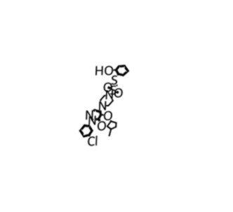 CC1CCC(Oc2c(N3CCN(S(=O)(=O)CSc4ccccc4O)CC3)cnn(-c3cccc(Cl)c3)c2=O)C1